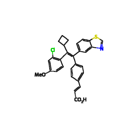 COc1ccc(C(=C(c2ccc(C=CC(=O)O)cc2)c2ccc3scnc3c2)C2CCC2)c(Cl)c1